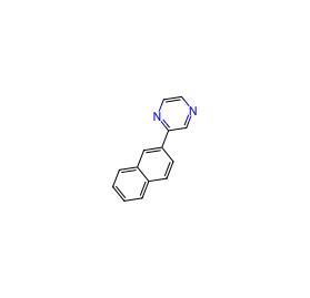 c1ccc2cc(-c3cnccn3)ccc2c1